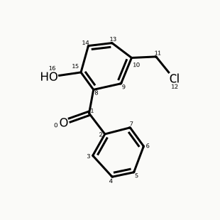 O=C(c1ccccc1)c1cc(CCl)ccc1O